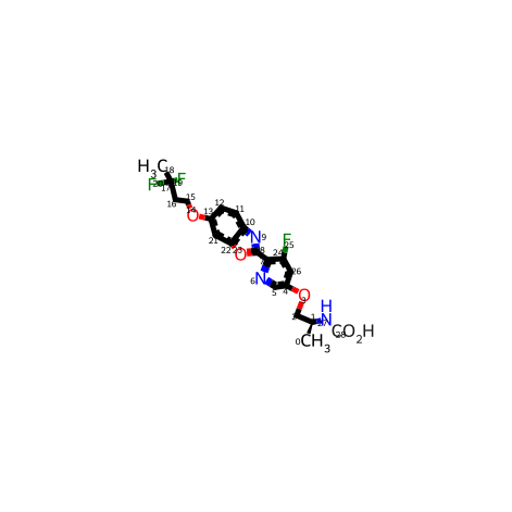 C[C@@H](COc1cnc(-c2nc3ccc(OCCC(C)(F)F)cc3o2)c(F)c1)NC(=O)O